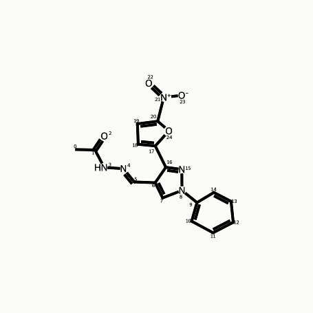 CC(=O)NN=Cc1cn(-c2ccccc2)nc1-c1ccc([N+](=O)[O-])o1